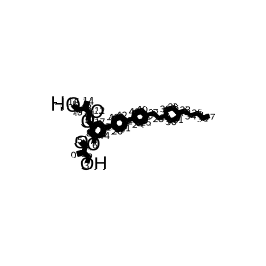 C=C(CO)C(=O)Oc1cc(OC(=O)C(=C)CO)cc(-c2ccc(-c3ccc(CCC4CCC(CCCCC)CC4)cc3)cc2)c1